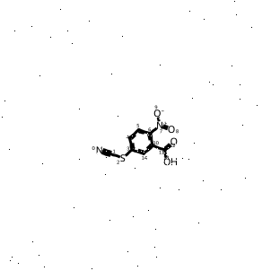 N#CSc1ccc([N+](=O)[O-])c(C(=O)O)c1